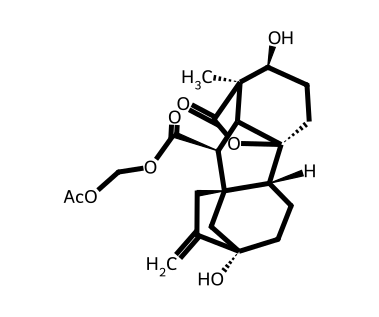 C=C1C[C@]23C[C@@]1(O)CC[C@H]2[C@@]12CC[C@H](O)[C@](C)(C(=O)O1)C2[C@@H]3C(=O)OCOC(C)=O